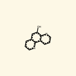 Oc1cc2cccnc2c2cccnc12